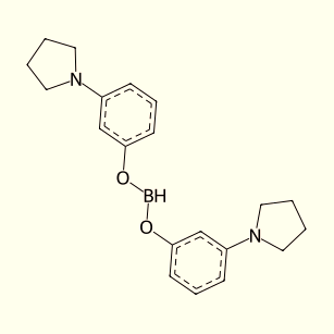 B(Oc1cccc(N2CCCC2)c1)Oc1cccc(N2CCCC2)c1